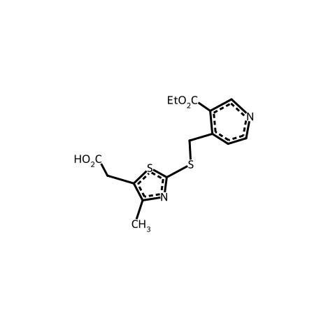 CCOC(=O)c1cnccc1CSc1nc(C)c(CC(=O)O)s1